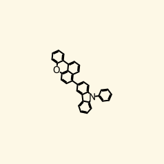 c1ccc(-n2c3ccccc3c3cc(-c4ccc5c6c(cccc46)-c4ccccc4O5)ccc32)cc1